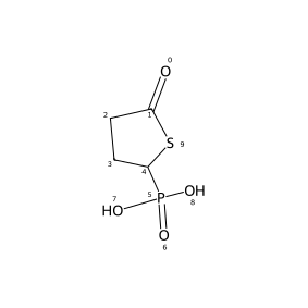 O=C1CCC(P(=O)(O)O)S1